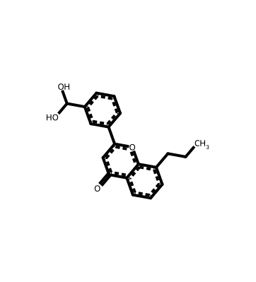 CCCc1cccc2c(=O)cc(-c3cccc(C(O)O)c3)oc12